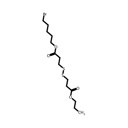 CCCOC(=O)CCSSCCC(=O)OCCCCCBr